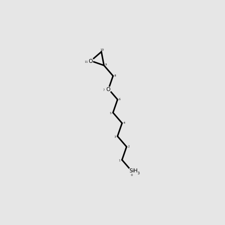 [SiH3]CCCCCCOCC1CO1